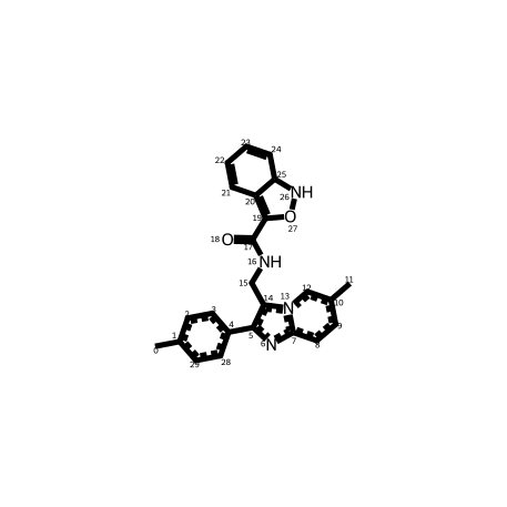 Cc1ccc(-c2nc3ccc(C)cn3c2CNC(=O)C2=C3C=CC=CC3NO2)cc1